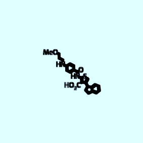 COCCCNc1ccc(C(=O)Nc2scc(C3CCc4ccccc43)c2C(=O)O)cc1